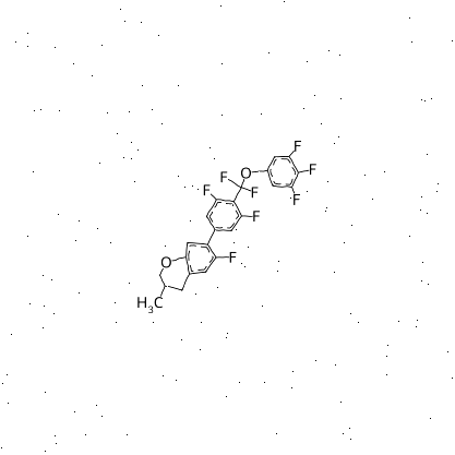 CC1COc2cc(-c3cc(F)c(C(F)(F)Oc4cc(F)c(F)c(F)c4)c(F)c3)c(F)cc2C1